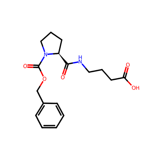 O=C(O)CCCNC(=O)[C@@H]1CCCN1C(=O)OCc1ccccc1